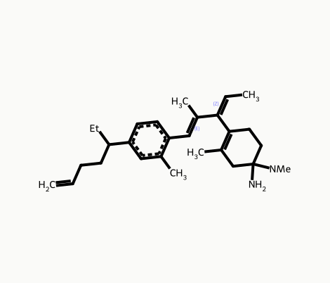 C=CCCC(CC)c1ccc(/C=C(C)/C(=C/C)C2=C(C)CC(N)(NC)CC2)c(C)c1